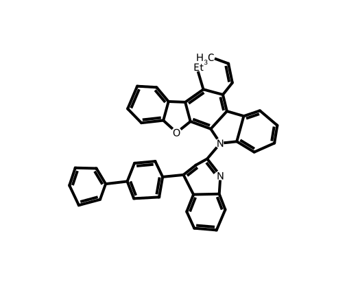 C/C=C\c1c(CC)c2c3ccccc3oc2c2c1c1ccccc1n2-c1cc(-c2ccc(-c3ccccc3)cc2)c2ccccc2n1